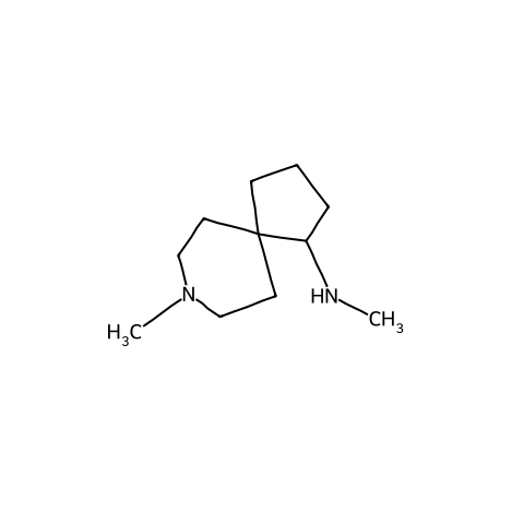 CNC1CCCC12CCN(C)CC2